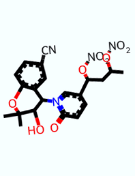 CC(CC(O[N+](=O)[O-])c1ccc(=O)n(C2c3cc(C#N)ccc3OC(C)(C)C2O)c1)O[N+](=O)[O-]